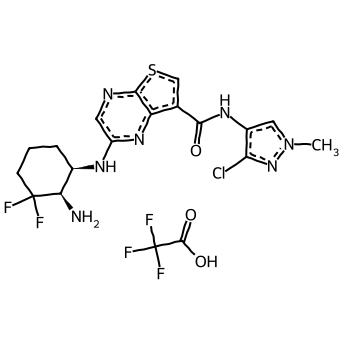 Cn1cc(NC(=O)c2csc3ncc(N[C@@H]4CCCC(F)(F)[C@@H]4N)nc23)c(Cl)n1.O=C(O)C(F)(F)F